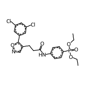 CCOP(=O)(OCC)c1ccc(NC(=O)CCc2cnoc2-c2cc(Cl)cc(Cl)c2)cc1